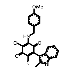 COc1ccc(CNC2=C(Cl)C(=O)C(Cl)=C(c3c(C)[nH]c4ccccc34)C2=O)cc1